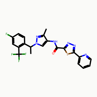 Cc1nn(C(C)c2ccc(F)cc2C(F)(F)F)cc1NC(=O)c1nnc(-c2ccccn2)s1